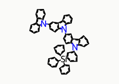 c1ccc([Si](c2ccccc2)(c2ccccc2)c2cccc(-n3c4ccccc4c4cc(-n5c6ccccc6c6cc(-n7c8ccccc8c8ccccc87)ccc65)ccc43)c2)cc1